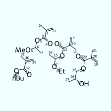 C=C(C)C(=O)OC(C)OC.C=C(C)C(=O)OC(C)OCC.C=C(C)C(=O)OCC(C)O.C=C(C)C(=O)OCCCC